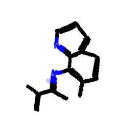 C=C(C)/C(C)=N/c1c(C)ccc2cccnc12